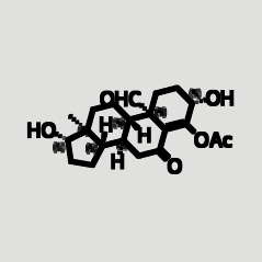 CC(=O)OC1=C2C(=O)C[C@H]3[C@@H]4CC[C@H](O)[C@@]4(C)CC[C@@H]3[C@@]2(C=O)CC[C@@H]1O